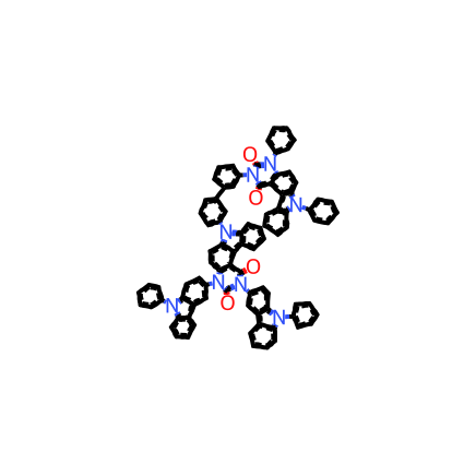 O=c1c2c3c4ccccc4n(-c4ccccc4)c3ccc2n(-c2ccccc2)c(=O)n1-c1cccc(-c2cccc(-n3c4ccccc4c4c5c(=O)n(-c6ccc7c(c6)c6ccccc6n7-c6ccccc6)c(=O)n(-c6ccc7c(c6)c6ccccc6n7-c6ccccc6)c5ccc43)c2)c1